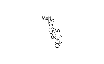 CNC(=O)Nc1ccc2c(c1)CCC21OC(=O)N(CC(=O)N(Cc2ccccc2)C(C2CC2)C2CC2)C1=O